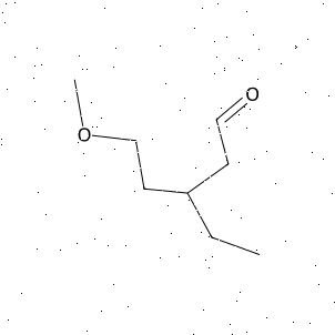 CCC(CC=O)CCOC